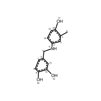 Cc1cc(NCc2ccc(O)c(O)c2)ccc1O